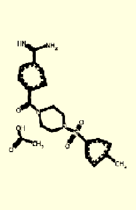 CC(=O)O.Cc1ccc(S(=O)(=O)N2CCN(C(=O)c3ccc(C(=N)N)cc3)CC2)cc1